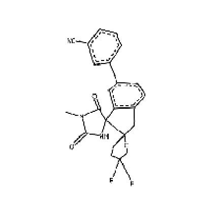 CN1C(=O)NC2(C1=O)c1cc(-c3cccc(C#N)c3)ccc1CC21CCC(F)(F)CC1